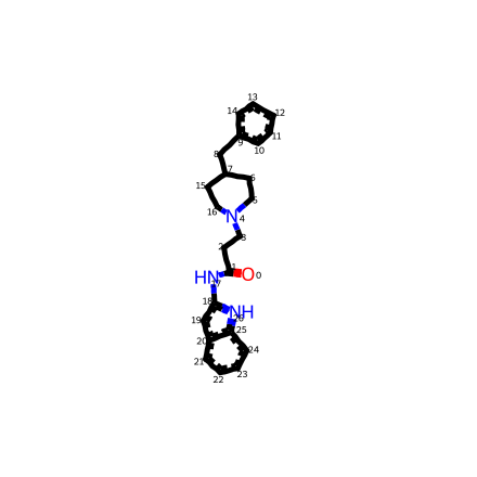 O=C(CCN1CCC(Cc2ccccc2)CC1)Nc1cc2ccccc2[nH]1